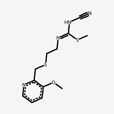 COc1cccnc1CSCC/N=C(/NC#N)SC